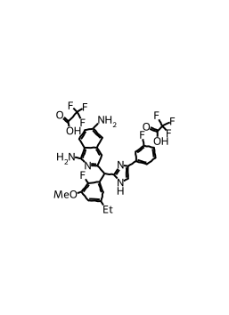 CCc1cc(OC)c(F)c(C(c2cc3cc(N)ccc3c(N)n2)c2nc(-c3cccc(F)c3)c[nH]2)c1.O=C(O)C(F)(F)F.O=C(O)C(F)(F)F